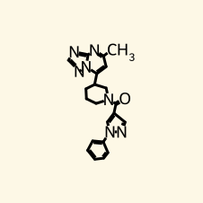 Cc1cc(C2CCCN(C(=O)c3cnn(-c4ccccc4)c3)C2)n2ncnc2n1